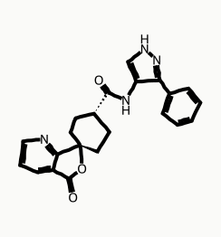 O=C1O[C@]2(CC[C@@H](C(=O)Nc3c[nH]nc3-c3ccccc3)CC2)c2ncccc21